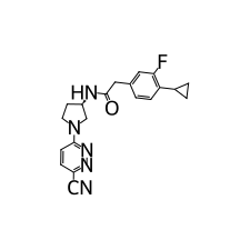 N#Cc1ccc(N2CC[C@@H](NC(=O)Cc3ccc(C4CC4)c(F)c3)C2)nn1